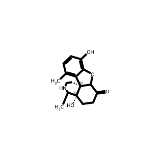 Cc1ccc(O)c2c1[C@]13CCNC(C)[C@]1(O)CCC(=O)C3O2